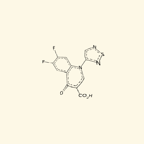 O=C(O)c1cn(-c2cnsn2)c2cc(F)c(F)cc2c1=O